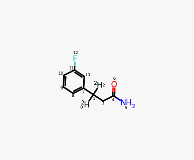 [2H]C([2H])(CC(N)=O)c1cccc(F)c1